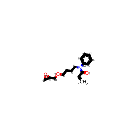 C=CC(=O)N(CCCCOCC1CO1)c1ccccc1